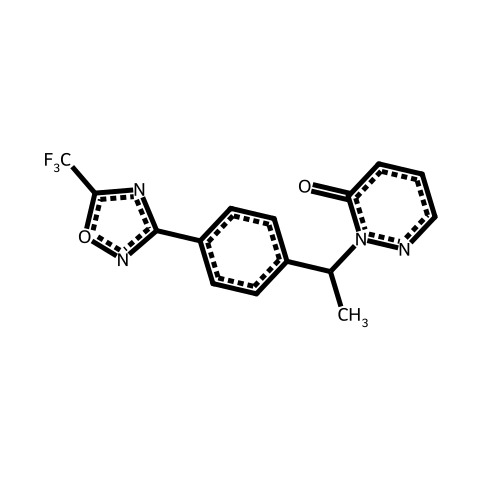 CC(c1ccc(-c2noc(C(F)(F)F)n2)cc1)n1ncccc1=O